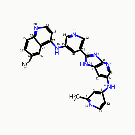 Cc1cc(Nc2cnc3nc(-c4cncc(Nc5ccnc6ccc(C#N)cc56)c4)[nH]c3c2)ccn1